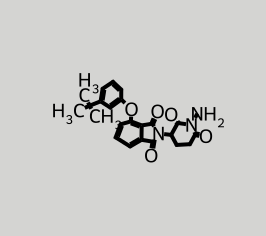 CC(C)(C)c1cccc(Oc2cccc3c2C(=O)N(C2CCC(=O)N(N)C2=O)C3=O)c1